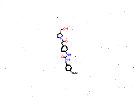 COc1ccc(CNC(=O)Nc2ccc(CC(=O)N3CC[C@@H](CO)C3)cc2)cc1